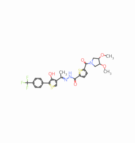 COC1CN(C(=O)c2ccc(C(=O)N/N=C(\C)c3csc(-c4ccc(C(F)(F)F)cc4)c3O)s2)CC1OC